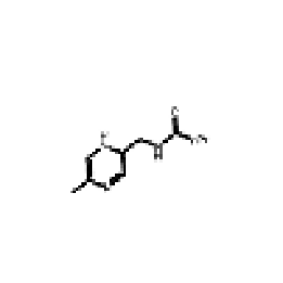 CCCC(=O)NCC1C=NC(C)=CN1